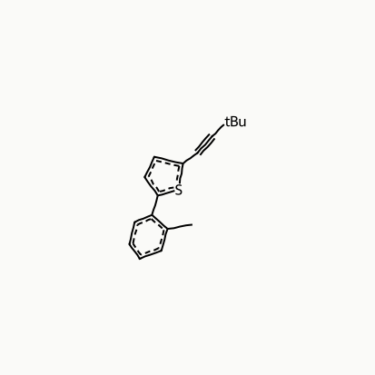 Cc1ccccc1-c1ccc(C#CC(C)(C)C)s1